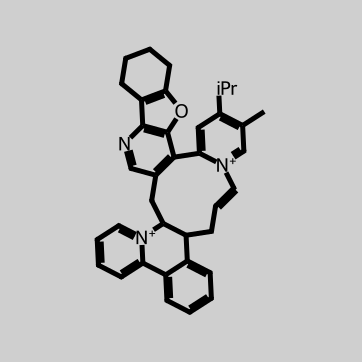 Cc1c[n+]2c(cc1C(C)C)-c1c(cnc3c4c(oc13)CCCC4)CC1C(C/C=C/2)c2ccccc2-c2cccc[n+]21